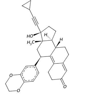 C[C@]12C[C@H](c3ccc4c(c3)OCCO4)C3=C4CCC(=O)C=C4CC[C@H]3[C@@H]1CC[C@@]2(O)C#CC1CC1